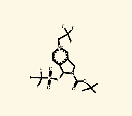 CC(C)(C)OC(=O)N1Cc2c[n+](CC(F)(F)F)ccc2C1OS(=O)(=O)C(F)(F)F